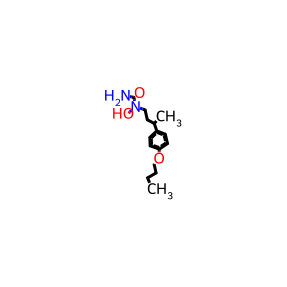 CCCCOc1ccc(C(C)CCN(O)C(N)=O)cc1